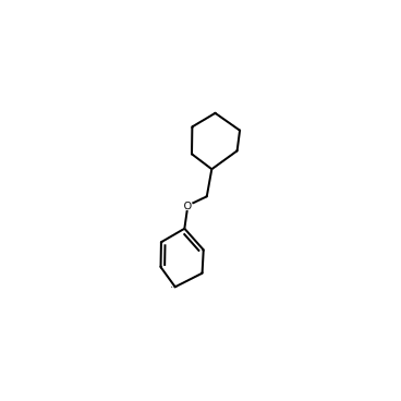 [CH]1C=CC(OCC2CCCCC2)=CC1